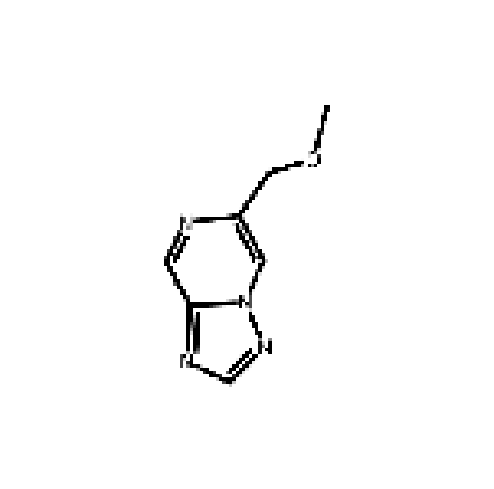 COCc1cn2ncnc2cn1